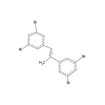 C/C(=C\c1cc(Br)cc(Br)c1)c1cc(Br)cc(Br)c1